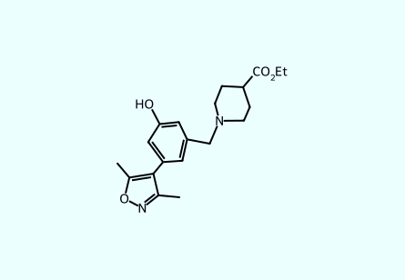 CCOC(=O)C1CCN(Cc2cc(O)cc(-c3c(C)noc3C)c2)CC1